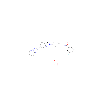 O=C(NCC1CCC(n2cc3ccc(-c4cn5ccccc5n4)cc3n2)CC1)c1cc(F)c(O)c(F)c1.O=C(O)C(F)(F)F